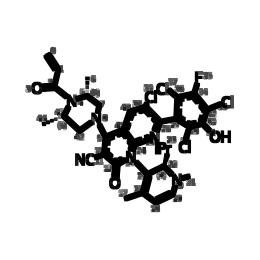 C=CC(=O)N1[C@H](C)CN(c2c(C#N)c(=O)n(C3=C(C)C=CN(C)[C@@H]3C(C)C)c3nc(-c4c(Cl)c(O)c(Cl)c(F)c4Cl)c(Cl)cc23)C[C@@H]1C